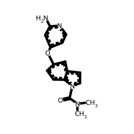 CN(C)C(=O)n1ccc2cc(Oc3ccnc(N)c3)ccc21